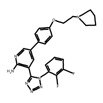 Nc1ncc(-c2ccc(OCCN3CCCC3)cc2)cc1-c1nnnn1-c1cccc(F)c1F